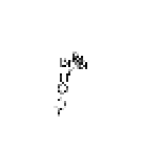 C[C@H]1CC[C@H](c2ccc(OCCC[Si](Br)(Br)Br)cc2)CC1